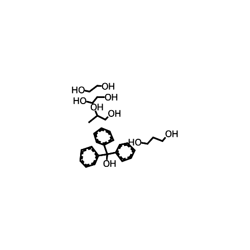 CC(O)CO.OC(c1ccccc1)(c1ccccc1)c1ccccc1.OCCCO.OCCO.OCCO